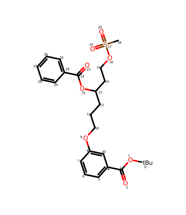 CC(C)(C)OC(=O)c1cccc(OCCCC(CCOS(C)(=O)=O)OC(=O)c2ccccc2)c1